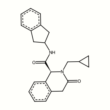 O=C(NC1Cc2ccccc2C1)[C@@H]1c2ccccc2CC(=O)N1CC1CC1